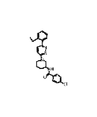 CCc1ccccc1-c1ccc(N2CCCC(NC(=O)c3ccc(Cl)cc3)C2)nn1